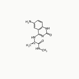 CNC(=O)[C@@H](C)Nc1nc(=O)[nH]c2ccc(N)cc12